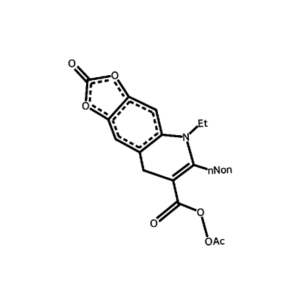 CCCCCCCCCC1=C(C(=O)OOC(C)=O)Cc2cc3oc(=O)oc3cc2N1CC